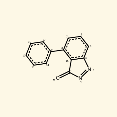 O=C1N=Nc2cccc(-c3ccccc3)c21